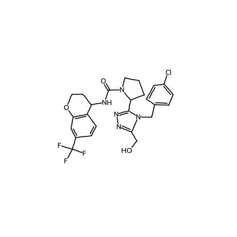 O=C(NC1CCOc2cc(C(F)(F)F)ccc21)N1CCCC1c1nnc(CO)n1Cc1ccc(Cl)cc1